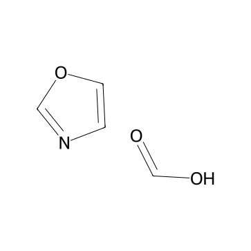 O=CO.c1cocn1